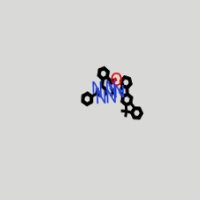 CC1(C)c2ccccc2-c2cc3c4ccccc4n(-c4nc5nc(-c6ccccc6)nc6c7ccccc7c(=O)n4c56)c3cc21